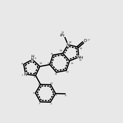 Cc1cccc(-c2nc[nH]c2-c2ccc3[nH]c(=O)n(C(C)C)c3c2)c1